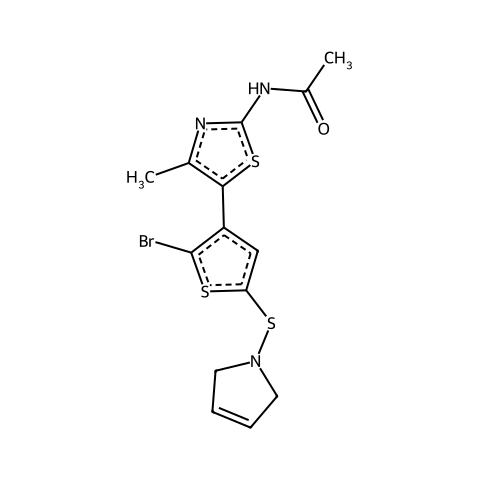 CC(=O)Nc1nc(C)c(-c2cc(SN3CC=CC3)sc2Br)s1